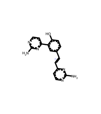 Nc1nccc(/C=C/c2ccc(O)c(-c3ccnc(N)n3)c2)n1